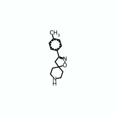 Cc1ccc(C2=NOC3(CCNCC3)C2)cc1